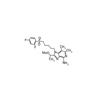 COC(C)c1nc2c(N)nc(C)c(C)c2n1CCCCCS(=O)(=O)c1ccc(F)cc1F